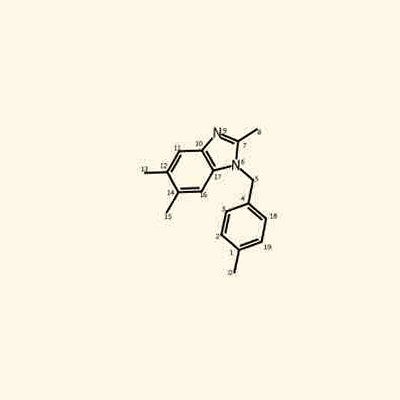 Cc1ccc(Cn2c(C)nc3cc(C)c(C)cc32)cc1